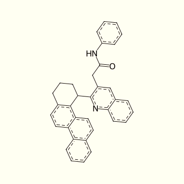 O=C(Cc1cc2ccccc2nc1C1CCCc2ccc3c(ccc4ccccc43)c21)Nc1ccccc1